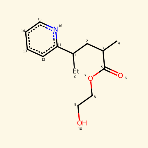 CCC(CC(C)C(=O)OCCO)c1ccccn1